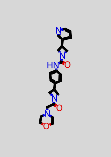 O=C(CN1CCOCC1)N1CC(c2ccc(NC(=O)N3CC(c4cccnc4)C3)cc2)C1